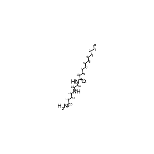 CCCCCCCCCCCC(=O)NCCNCCCCN